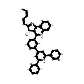 C/C=C\C=C/C1=Nc2c(c(-c3cccc(-c4cc(-c5ccccc5)nc(-c5ccccc5)c4)c3)nc3ccccc23)[C@@H]1C